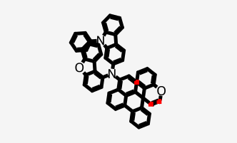 c1ccc(-n2c3ccccc3c3ccc(N(c4ccc5c6c(cccc46)-c4ccccc4C54c5ccccc5Oc5ccccc54)c4cccc5oc6ccccc6c45)cc32)cc1